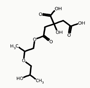 CC(O)COC(C)COC(=O)CC(O)(CC(=O)O)C(=O)O